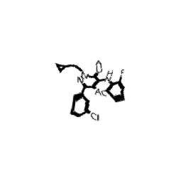 CC(=O)c1c(-c2cccc(Cl)c2)nn(CC2CC2)c(=O)c1Nc1ccccc1F